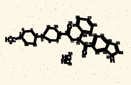 CN1CCC(N2CCN(C(=O)CN(C(=O)c3ccc4cc[nH]c4c3)c3ccccc3)CC2)CC1.Cl.Cl